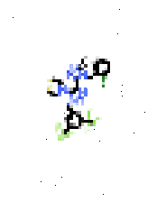 Cc1nnc(-c2nnn(Cc3cc(C(F)(F)F)cc(C(F)(F)F)c3)c2N2CCSCC2)n1Cc1ccccc1Cl